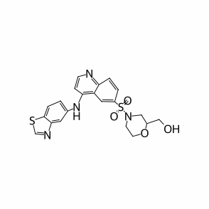 O=S(=O)(c1ccc2nccc(Nc3ccc4scnc4c3)c2c1)N1CCOC(CO)C1